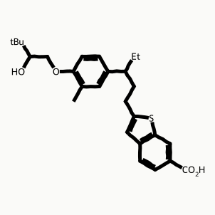 CCC(CCc1cc2ccc(C(=O)O)cc2s1)c1ccc(OCC(O)C(C)(C)C)c(C)c1